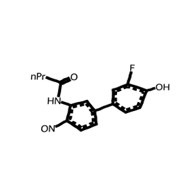 CCCC(=O)Nc1cc(-c2ccc(O)c(F)c2)ccc1N=O